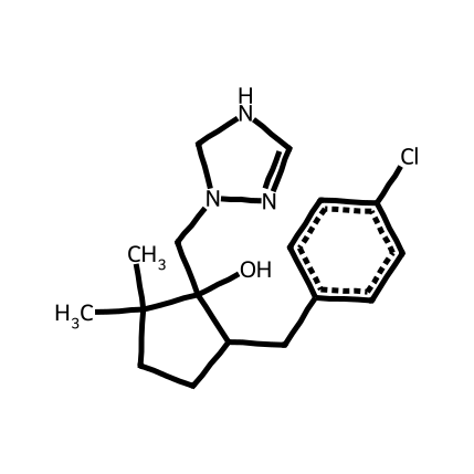 CC1(C)CCC(Cc2ccc(Cl)cc2)C1(O)CN1CNC=N1